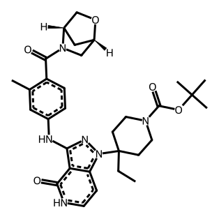 CCC1(n2nc(Nc3ccc(C(=O)N4C[C@@H]5C[C@H]4CO5)c(C)c3)c3c(=O)[nH]ccc32)CCN(C(=O)OC(C)(C)C)CC1